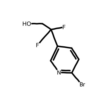 OCC(F)(F)c1ccc(Br)nc1